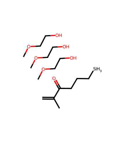 C=C(C)C(=O)CCC[SiH3].COCCO.COCCO.COCCO